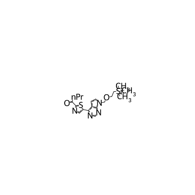 CCCC(=O)c1ncc(-c2ncnc3c2ccn3COCC[Si](C)(C)C)s1